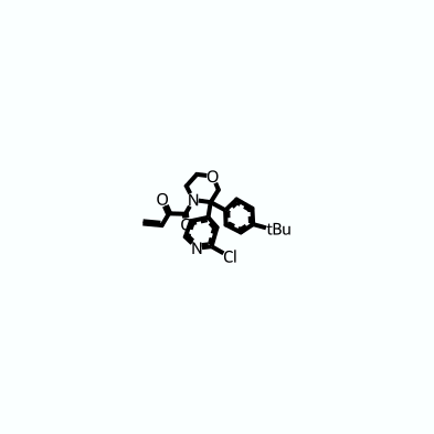 C=CC(=O)C(=O)N1CCOCC1(c1ccc(C(C)(C)C)cc1)c1ccnc(Cl)c1